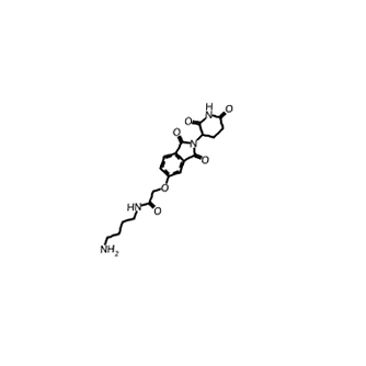 NCCCCNC(=O)COc1ccc2c(c1)C(=O)N(C1CCC(=O)NC1=O)C2=O